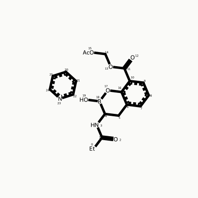 CCC(=O)NC1Cc2cccc(C(=O)OCOC(C)=O)c2OB1O.c1ccncc1